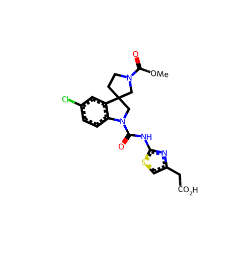 COC(=O)N1CCC2(C1)CN(C(=O)Nc1nc(CC(=O)O)cs1)c1ccc(Cl)cc12